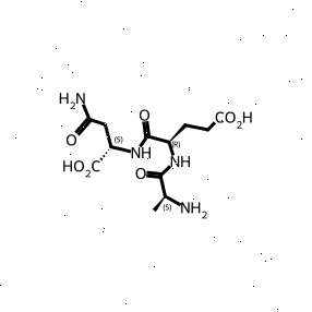 C[C@H](N)C(=O)N[C@H](CCC(=O)O)C(=O)N[C@@H](CC(N)=O)C(=O)O